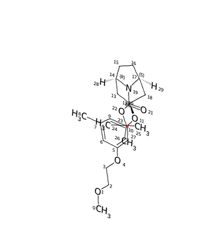 COCCOc1cc(C)cc(O[C@H]2C[C@H]3CC[C@@H](C2)N3C(=O)OC(C)(C)C)c1